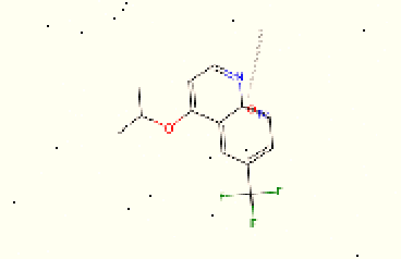 CC(C)OC1=CC=NC23O[C@H](C)CN=C2C=C(C(F)(F)F)C=C13